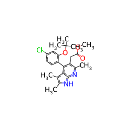 COC(=O)Cc1c(C)nc2[nH]c(C)c(C)c2c1-c1ccc(Cl)cc1OC(C)(C)C